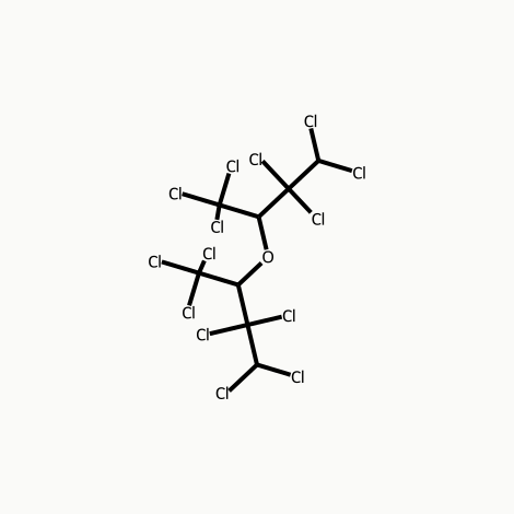 ClC(Cl)C(Cl)(Cl)C(OC(C(Cl)(Cl)Cl)C(Cl)(Cl)C(Cl)Cl)C(Cl)(Cl)Cl